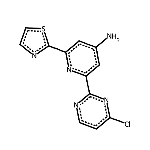 Nc1cc(-c2nccc(Cl)n2)nc(-c2nccs2)c1